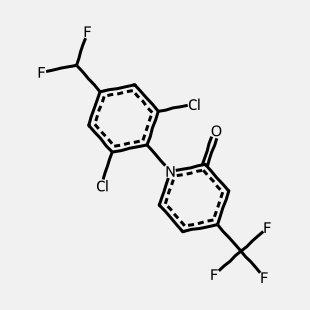 O=c1cc(C(F)(F)F)ccn1-c1c(Cl)cc(C(F)F)cc1Cl